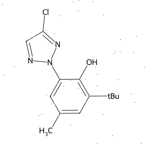 Cc1cc(-n2ncc(Cl)n2)c(O)c(C(C)(C)C)c1